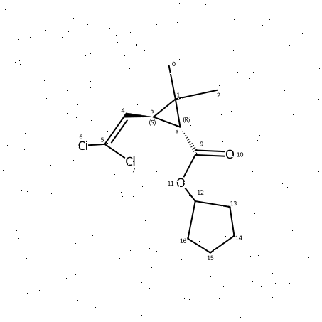 CC1(C)[C@H](C=C(Cl)Cl)[C@H]1C(=O)OC1CCCC1